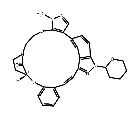 Cn1ncc2c1OCCN1CC[C@@H](Oc3ccccc3C=Cc3nn(C4CCCCO4)c4ccc-2cc34)C1=O